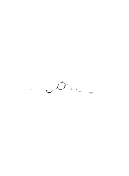 CCCCCC=CC(=O)Oc1ccc(-c2ccc(CCCCC)s2)cc1